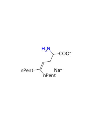 CCCCCC(=CCC(N)C(=O)[O-])CCCCC.[Na+]